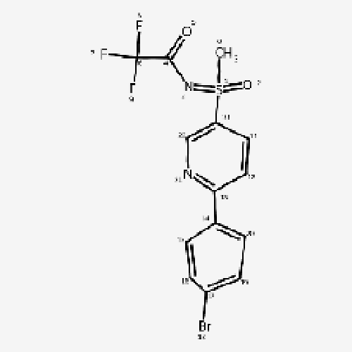 CS(=O)(=NC(=O)C(F)(F)F)c1ccc(-c2ccc(Br)cc2)nc1